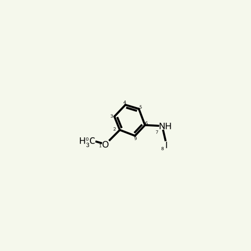 COc1cccc(NI)c1